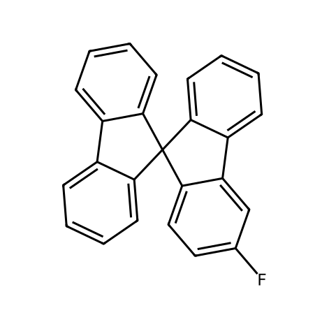 Fc1ccc2c(c1)-c1ccccc1C21c2ccccc2-c2ccccc21